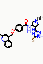 CCCN1CC(NC(=O)c2ccc(OCc3cc(C)nc4ccccc34)cc2)C(c2n[nH]c(=S)[nH]2)C1